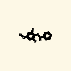 CCOc1cc(F)c(SNc2ccncn2)c(F)c1